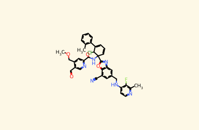 COCc1cc(C(=O)NC2(c3nc4cc(CNc5ccnc(C)c5F)cc(C#N)c4o3)C=CC=C(c3ccccc3C)C2Cl)ncc1C=O